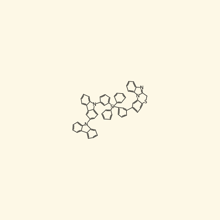 c1ccc([Si](c2ccccc2)(c2cccc(-c3ccc4c(c3)-n3c(nc5ccccc53)CS4)c2)c2cccc(-n3c4ccccc4c4cc(-n5c6ccccc6c6ccccc65)ccc43)c2)cc1